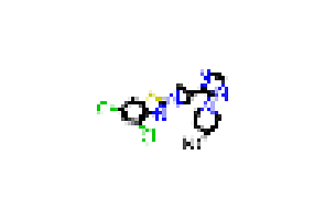 N#CC1CCN(c2nccnc2C2CN(c3nc4c(Cl)cc(Cl)cc4s3)C2)CC1